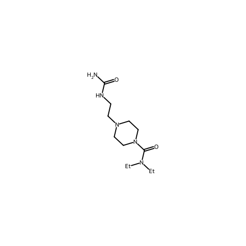 CCN(CC)C(=O)N1CCN(CCNC(N)=O)CC1